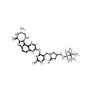 C[C@@H]1CNc2c(sc3ccc4nc(Oc5nc(Cl)ncc5CN5CC(CO[Si](C)(C)C(C)(C)C)CC5=O)cnc4c23)C(=O)N1